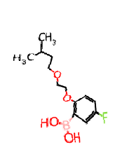 CC(C)CCOCCOc1ccc(F)cc1B(O)O